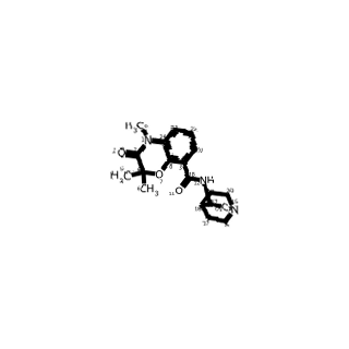 CN1C(=O)C(C)(C)Oc2c(C(=O)NC3CN4CCC3CC4)cccc21